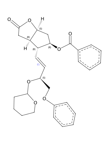 O=C1C[C@@H]2[C@@H](/C=C/[C@@H](COc3ccccc3)OC3CCCCO3)[C@H](OC(=O)c3ccccc3)C[C@@H]2O1